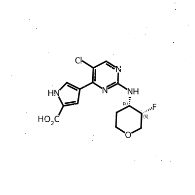 O=C(O)c1cc(-c2nc(N[C@H]3CCOC[C@H]3F)ncc2Cl)c[nH]1